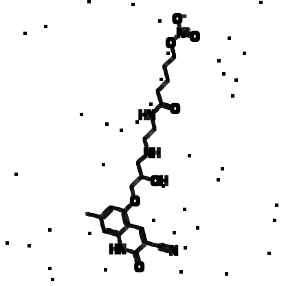 Cc1cc(OCC(O)CNCCNC(=O)CCCCO[N+](=O)[O-])c2cc(C#N)c(=O)[nH]c2c1